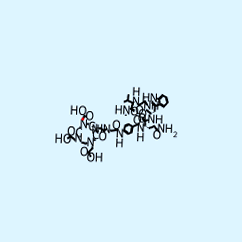 CNC(=O)[C@@H](NC(=O)[C@H](C)NC(=O)[C@H](Cc1c[nH]c2ccccc12)NC(=O)[C@H](CCC(N)=O)NC(=O)c1ccc(NC(=O)CNC(=O)CN2CCN(CC(=O)O)CCN(CC(=O)O)CCN(CC(=O)O)CC2)cc1)C(C)C